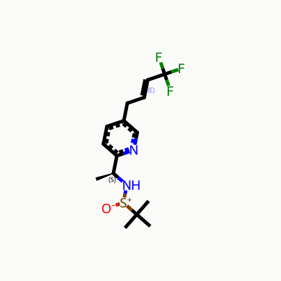 C[C@H](N[S+]([O-])C(C)(C)C)c1ccc(C/C=C/C(F)(F)F)cn1